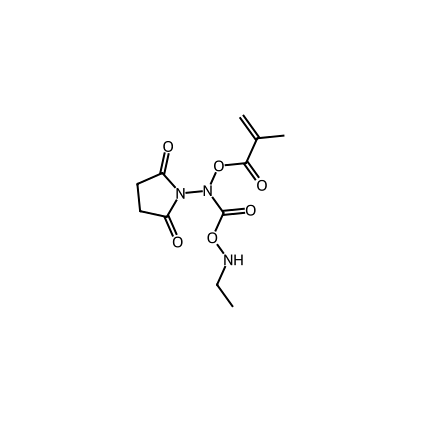 C=C(C)C(=O)ON(C(=O)ONCC)N1C(=O)CCC1=O